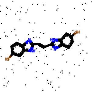 Sc1ccc2nc(C=Cc3nc4ccc(S)cc4[nH]3)[nH]c2c1